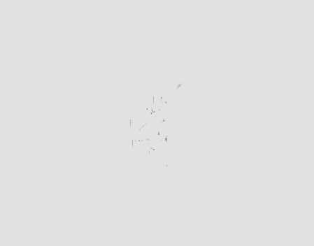 C#CCNc1nc2c(F)c(F)c(OCC)c(F)c2s1